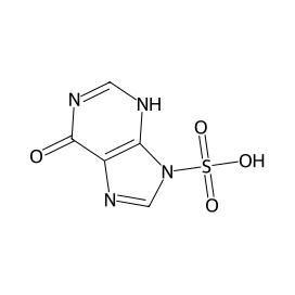 O=c1nc[nH]c2c1ncn2S(=O)(=O)O